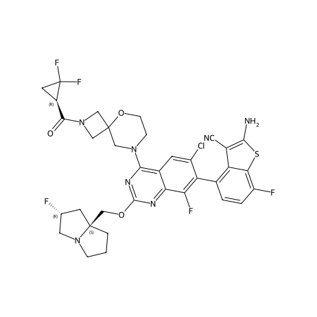 N#Cc1c(N)sc2c(F)ccc(-c3c(Cl)cc4c(N5CCOC6(CN(C(=O)[C@H]7CC7(F)F)C6)C5)nc(OC[C@@]56CCCN5C[C@H](F)C6)nc4c3F)c12